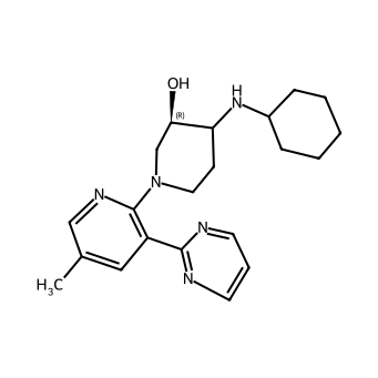 Cc1cnc(N2CCC(NC3CCCCC3)[C@H](O)C2)c(-c2ncccn2)c1